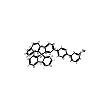 Brc1cccc(-c2ccc(-c3ccc4c(c3)C3(c5ccccc5-c5ccccc53)c3c-4ccc4ccccc34)cc2)c1